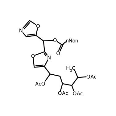 CCCCCCCCCC(=O)OC(c1cnco1)c1nc(C(CC(OC(C)=O)C(OC(C)=O)C(C)OC(C)=O)OC(C)=O)co1